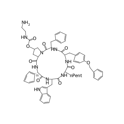 CCCCCC1NC(=O)C(Cc2c[nH]c3ccccc23)NC(=O)[C@H](c2ccccc2)NC(=O)C2CC(OC(=O)NCCN)CN2C(=O)C(Cc2ccccc2)NC(=O)C(Cc2ccc(OCc3ccccc3)cc2)NC1=O